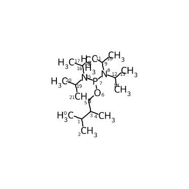 CC(C)C(C)COP(N(C(C)C)C(C)C)N(C(C)C)C(C)C